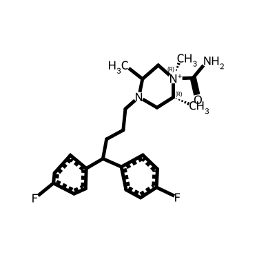 CC1C[N@@+](C)(C(N)=O)[C@H](C)CN1CCCC(c1ccc(F)cc1)c1ccc(F)cc1